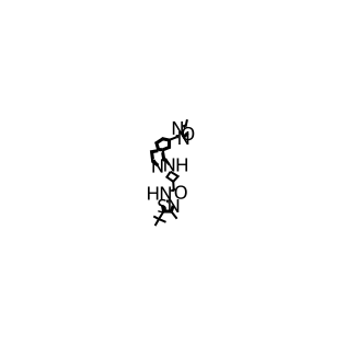 Cc1nc(-c2ccc3ccnc(NC4CC(C(=O)Nc5nc(C)c(C(C)(C)C)s5)C4)c3c2)no1